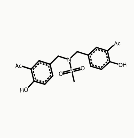 CC(=O)c1cc(CN(Cc2ccc(O)c(C(C)=O)c2)S(C)(=O)=O)ccc1O